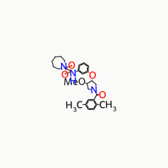 CO[C@@H]1CN(C(=O)c2cc(C)ccc2C)C[C@H]1Oc1cccc(NS(=O)(=O)N2CCCCCC2)c1